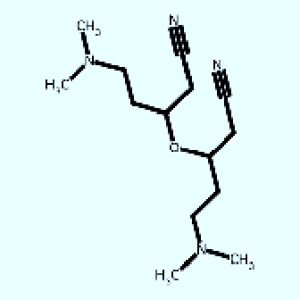 CN(C)CCC(CC#N)OC(CC#N)CCN(C)C